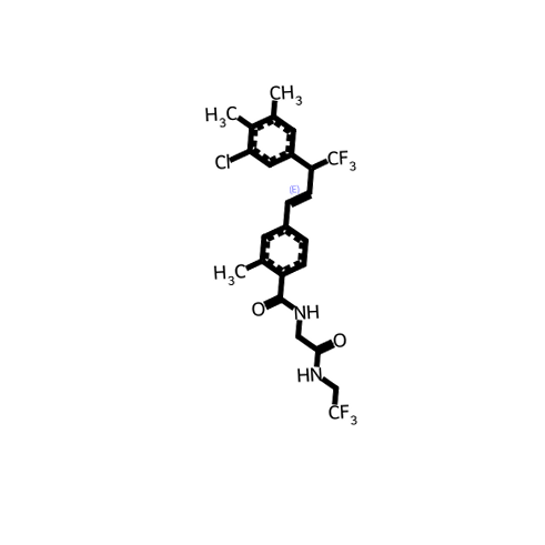 Cc1cc(/C=C/C(c2cc(C)c(C)c(Cl)c2)C(F)(F)F)ccc1C(=O)NCC(=O)NCC(F)(F)F